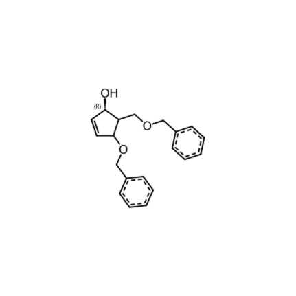 O[C@@H]1C=CC(OCc2ccccc2)C1COCc1ccccc1